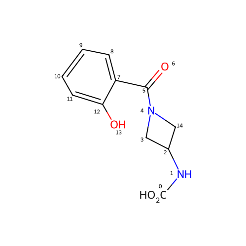 O=C(O)NC1CN(C(=O)c2ccccc2O)C1